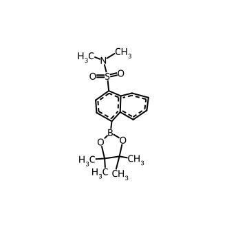 CN(C)S(=O)(=O)c1ccc(B2OC(C)(C)C(C)(C)O2)c2ccccc12